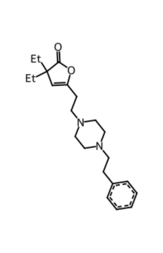 CCC1(CC)C=C(CCN2CCN(CCc3ccccc3)CC2)OC1=O